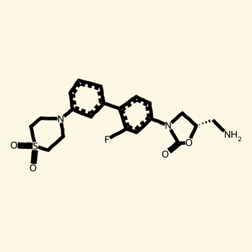 NC[C@H]1CN(c2ccc(-c3cccc(N4CCS(=O)(=O)CC4)c3)c(F)c2)C(=O)O1